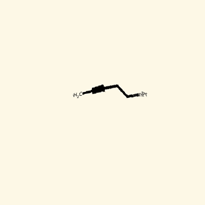 [CH2]C#CCCCC[CH2]